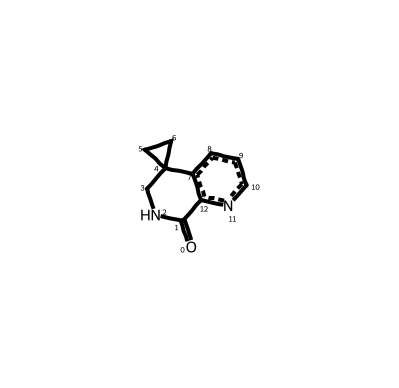 O=C1NCC2(CC2)c2cccnc21